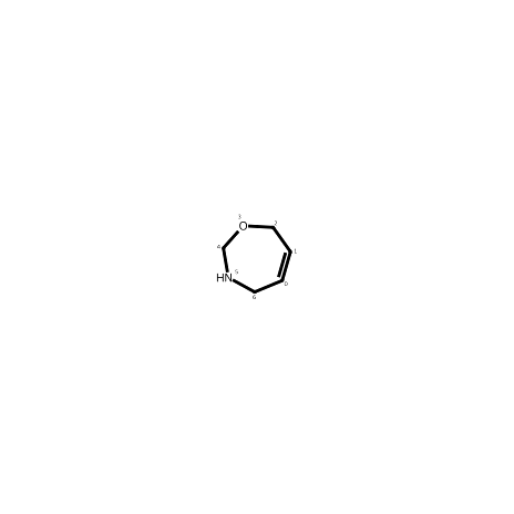 C1=CCOCNC1